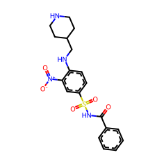 O=C(NS(=O)(=O)c1ccc(NCC2CCNCC2)c([N+](=O)[O-])c1)c1ccccc1